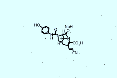 N#C/C=C/C1=C(C(=O)O)N2C(=O)[C@@H]3[C@H]2[C@H](C1)CN3C(=O)Nc1ccc(O)cc1.[NaH]